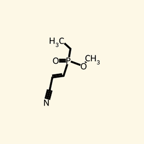 CCP(=O)(/C=C/C#N)OC